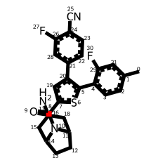 Cc1ccc(-c2sc(C(=O)N3C4CCC3CC(N)C4)cc2-c2ccc(C#N)c(F)c2)c(F)c1